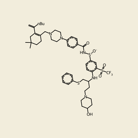 C=C(CCCC)C1=C(CN2CCN(c3ccc(C(=O)N[S+]([O-])c4ccc(NC(CCN5CCC(O)CC5)CSc5ccccc5)c(S(=O)(=O)C(F)(F)F)c4)cc3)CC2)CCC(C)(C)C1